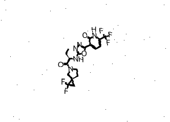 CC[C@@H](Nc1nnc(-c2ccc(C(F)(F)F)[nH]c2=O)o1)C(=O)N1CC[C@@]2(C1)CC2(F)F